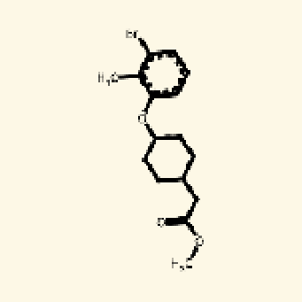 COC(=O)CC1CCC(Oc2cccc(Br)c2C)CC1